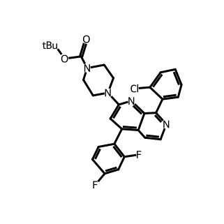 CC(C)(C)OC(=O)N1CCN(c2cc(-c3ccc(F)cc3F)c3ccnc(-c4ccccc4Cl)c3n2)CC1